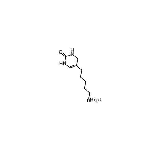 CCCCCCCCCCCCC1=CNC(=O)NC1